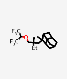 CCC(C)(COC(C(F)(F)F)C(F)(F)F)CC1(C)C2CC3CC(C2)CC1C3